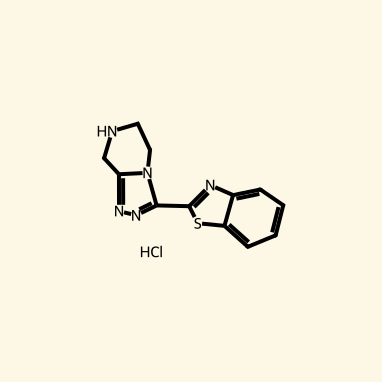 Cl.c1ccc2sc(-c3nnc4n3CCNC4)nc2c1